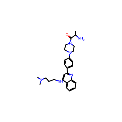 CC(N)C(=O)N1CCN(c2ccc(-c3cc(NCCCN(C)C)c4ccccc4n3)cc2)CC1